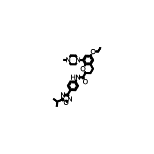 CCOc1cc2c(c(N3CCN(C)CC3)c1)OC(C(=O)Nc1ccc(-c3noc(C(C)C)n3)cc1)CC2